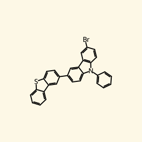 Brc1ccc2c(c1)c1cc(-c3ccc4sc5ccccc5c4c3)ccc1n2-c1ccccc1